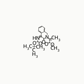 COC(=O)[C@H](C)N1Cc2ccccc2[C@H](NC(=O)OC(C)(C)C)C1=O